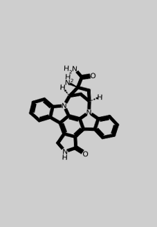 NC(=O)[C@]1(N)C[C@@H]2C[C@H]1n1c3ccccc3c3c4c(c5c6ccccc6n2c5c31)C(=O)NC4